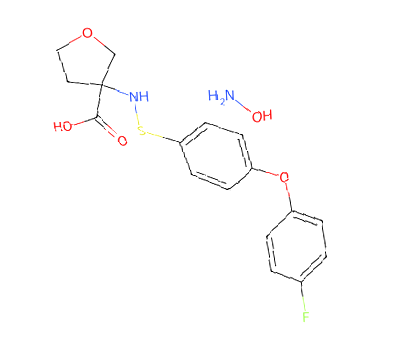 NO.O=C(O)C1(NSc2ccc(Oc3ccc(F)cc3)cc2)CCOC1